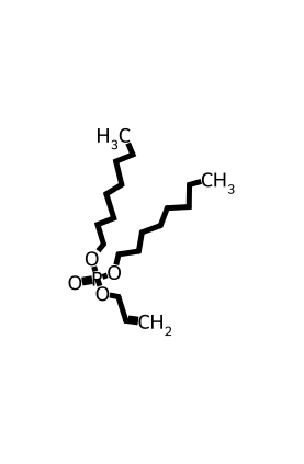 C=CCOP(=O)(OCCCCCCCC)OCCCCCCCC